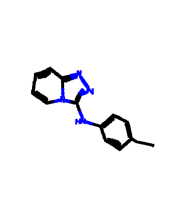 Cc1ccc(Nc2nnc3ccccn23)cc1